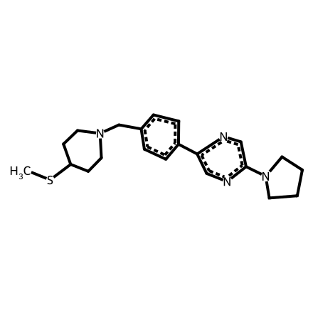 CSC1CCN(Cc2ccc(-c3cnc(N4CCCC4)cn3)cc2)CC1